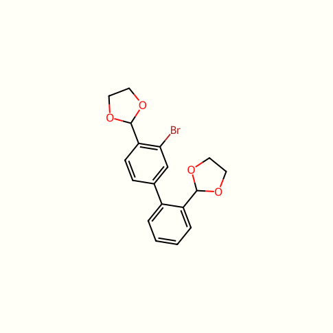 Brc1cc(-c2ccccc2C2OCCO2)ccc1C1OCCO1